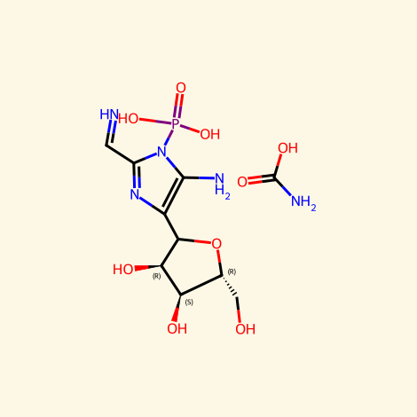 N=Cc1nc(C2O[C@H](CO)[C@@H](O)[C@H]2O)c(N)n1P(=O)(O)O.NC(=O)O